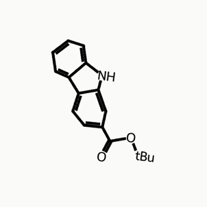 CC(C)(C)OC(=O)c1ccc2c(c1)[nH]c1ccccc12